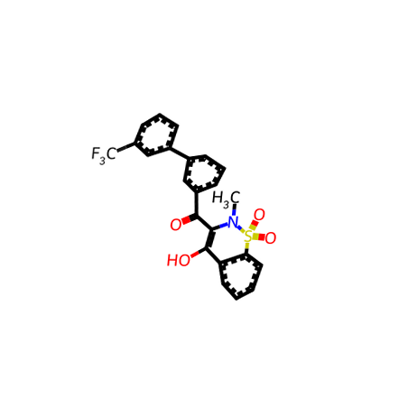 CN1C(C(=O)c2cccc(-c3cccc(C(F)(F)F)c3)c2)=C(O)c2ccccc2S1(=O)=O